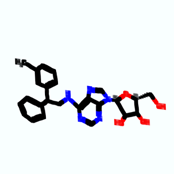 Cc1cccc(C(CNc2ncnc3c2ncn3[C@@H]2O[C@H](CO)C(O)C2O)c2ccccc2)c1